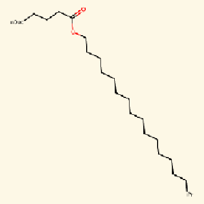 CCCCCCCCCCCCCC(=O)OCCCCCCCCCCCCCCCC(C)C